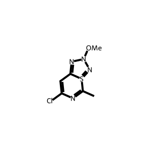 CON1N=C2C=C(Cl)N=C(C)S2=N1